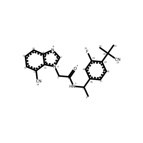 CC(NC(=O)Cn1cnc2cccc(C#N)c21)c1ccc(C(C)(C)C#N)c(F)c1